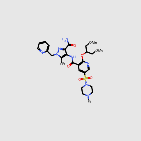 CCCc1c(NC(=O)c2cc(S(=O)(=O)N3CCN(CC)CC3)cnc2OC(COC)COC)c(C(N)=O)nn1Cc1ccccn1